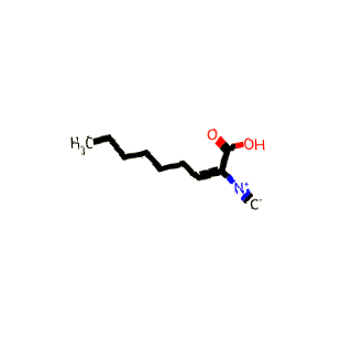 [C-]#[N+]C(=CCCCCCC)C(=O)O